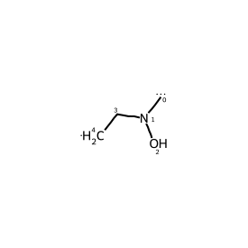 [C]N(O)C[CH2]